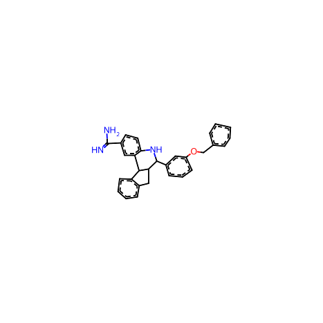 N=C(N)c1ccc2c(c1)C1c3ccccc3CC1C(c1cccc(OCc3ccccc3)c1)N2